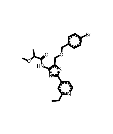 CCc1cc(-c2nc(NC(=O)C(C)OC)c(COCc3ccc(Br)cc3)s2)ccn1